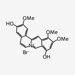 COc1cc2c(cc[n+]3cc4c(O)cc(OC)c(OC)c4cc23)cc1O.[Br-]